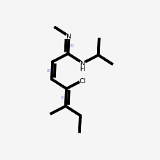 CC/C(C)=C(Cl)/C=C\C(=N/C)NC(C)C